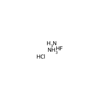 Cl.F.N.N